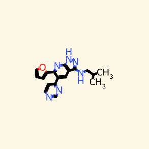 CC(C)CNc1n[nH]c2nc(-c3ccco3)c(-c3ccncn3)cc12